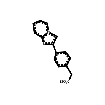 CCOC(=O)Cc1ccc(-c2cn3ccccc3n2)cc1